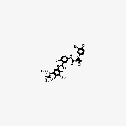 CC(C)(C)OC(=O)N(C(=O)O)c1cc(NC(=O)c2cc(NC(=O)[C@H]3[C@H](c4ccc(Cl)c(Br)c4)C3(Cl)Cl)ccc2Cl)c(F)c(C(C)(C)C)c1F